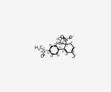 CNC1([N+](=O)[O-])CC=C(F)C=C1c1ccc([S+](C)[O-])cc1